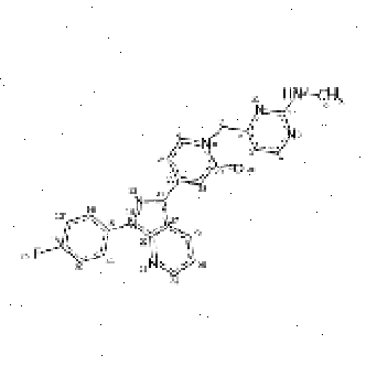 CNc1nccc(Cn2ccc(-c3nn(-c4ccc(F)cc4)c4ncccc34)cc2=O)n1